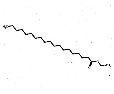 CCCCCCCCCCCCCCCCCCC(=O)OCC